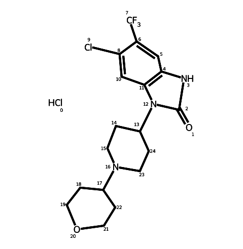 Cl.O=c1[nH]c2cc(C(F)(F)F)c(Cl)cc2n1C1CCN(C2CCOCC2)CC1